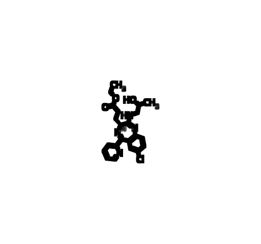 CCOC(=O)CC[C@@H]1N=C(c2ccccn2)c2cc(Cl)ccc2N=C1NCC(C)O